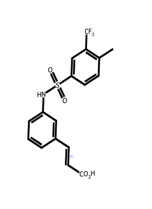 Cc1ccc(S(=O)(=O)Nc2cccc(/C=C/C(=O)O)c2)cc1C(F)(F)F